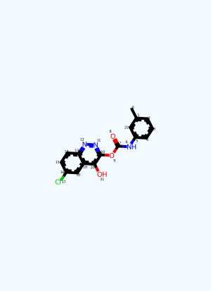 Cc1cccc(NC(=O)Oc2nnc3ccc(Cl)cc3c2O)c1